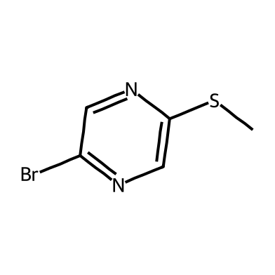 CSc1cnc(Br)cn1